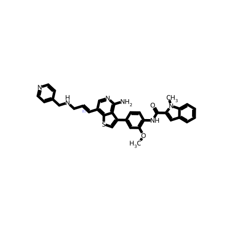 COc1cc(-c2csc3c(/C=C/CNCc4ccncc4)cnc(N)c23)ccc1NC(=O)c1cc2ccccc2n1C